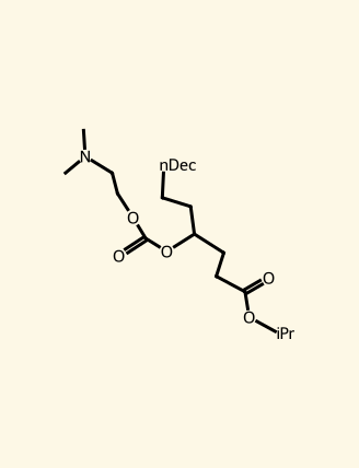 [CH2]C([CH2])OC(=O)CCC(CCCCCCCCCCCC)OC(=O)OCCN(C)C